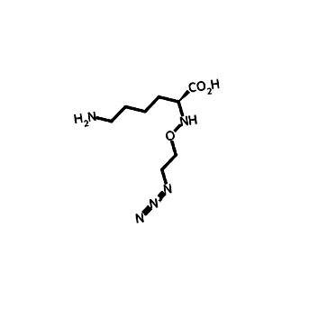 [N-]=[N+]=NCCON[C@@H](CCCCN)C(=O)O